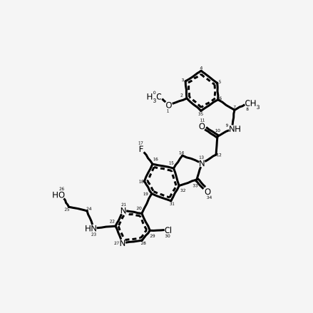 COc1cccc(C(C)NC(=O)CN2Cc3c(F)cc(-c4nc(NCCO)ncc4Cl)cc3C2=O)c1